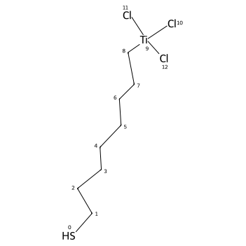 SCCCCCCC[CH2][Ti]([Cl])([Cl])[Cl]